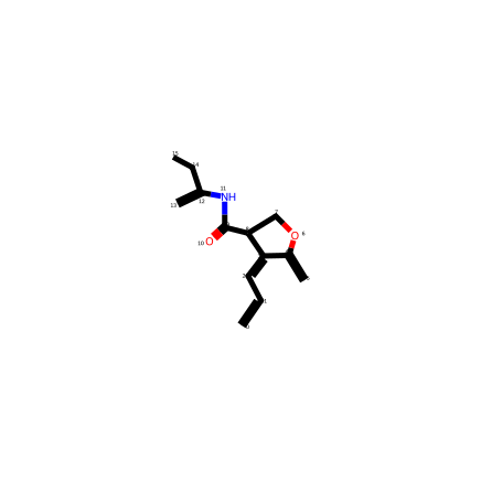 C=C/C=C1\C(=C)OCC1C(=O)NC(=C)CC